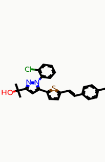 Cc1ccc(/C=C/c2ccc(-c3cc(C(C)(C)O)nn3-c3ccccc3Cl)s2)cc1